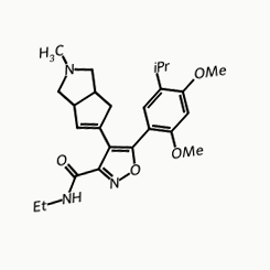 CCNC(=O)c1noc(-c2cc(C(C)C)c(OC)cc2OC)c1C1=CC2CN(C)CC2C1